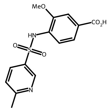 COc1cc(C(=O)O)ccc1NS(=O)(=O)c1ccc(C)nc1